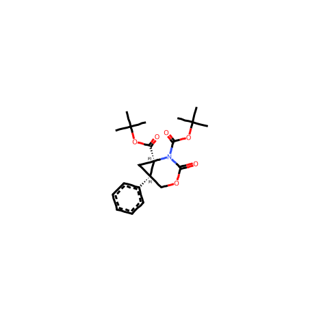 CC(C)(C)OC(=O)N1C(=O)OC[C@@]2(c3ccccc3)C[C@@]12C(=O)OC(C)(C)C